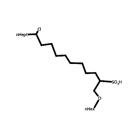 CCCCCCCC(Cl)CCCCCCCCC(COCCCCCC)S(=O)(=O)O